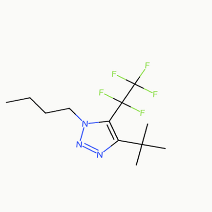 CCCCn1nnc(C(C)(C)C)c1C(F)(F)C(F)(F)F